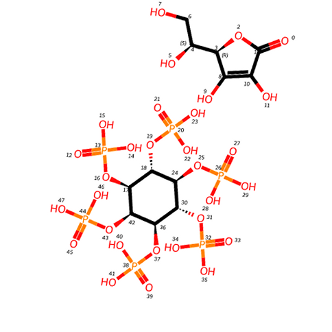 O=C1O[C@H]([C@@H](O)CO)C(O)=C1O.O=P(O)(O)O[C@H]1[C@H](OP(=O)(O)O)[C@@H](OP(=O)(O)O)[C@H](OP(=O)(O)O)[C@@H](OP(=O)(O)O)[C@H]1OP(=O)(O)O